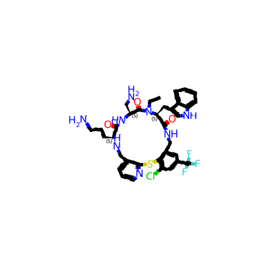 CCN1C(=O)[C@H](CN)NC(=O)[C@H](CCCN)NCc2cccnc2Sc2c(Cl)cc(C(F)(F)F)cc2CNC(=O)[C@@H]1Cc1c[nH]c2ccccc12